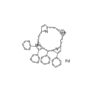 C1=Cc2cc3[nH]c(c(-c4ccccc4)c4nc(cc5ccc(cc1n2)[nH]5)C=C4c1ccccc1)c(-c1ccccc1)c3-c1ccccc1.[Pd]